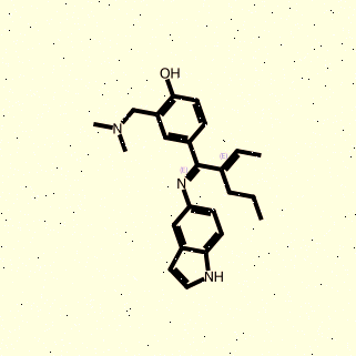 C/C=C(CCC)/C(=N\c1ccc2[nH]ccc2c1)c1ccc(O)c(CN(C)C)c1